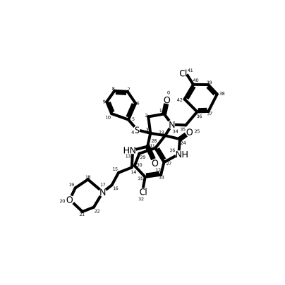 O=C1CC(Sc2ccccc2)(C(=O)NCCCN2CCOCC2)C2(C(=O)NC3=C2CCC(Cl)=C3)N1Cc1cccc(Cl)c1